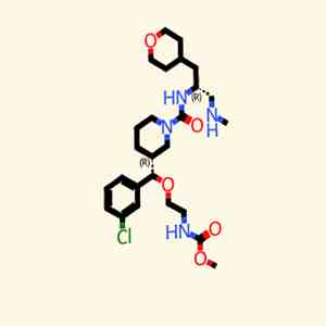 CNC[C@@H](CC1CCOCC1)NC(=O)N1CCC[C@@H](C(OCCNC(=O)OC)c2cccc(Cl)c2)C1